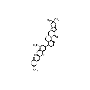 CN1CCN/C(=C\C(=N)Nc2cc(-c3ccnc(N4CCn5c(cc6c5CC(C)(C)C6)C4=O)c3CO)cn(C)c2=O)C1